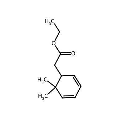 CCOC(=O)CC1C=CC=CC1(C)C